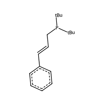 CC(C)(C)P(CC=Cc1ccccc1)C(C)(C)C